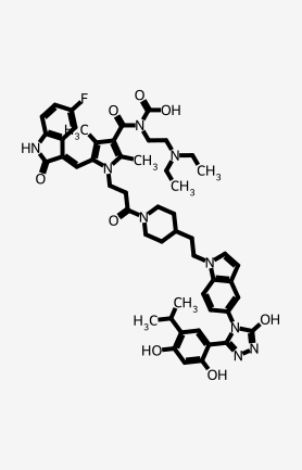 CCN(CC)CCN(C(=O)O)C(=O)c1c(C)c(C=C2C(=O)Nc3ccc(F)cc32)n(CCC(=O)N2CCC(CCn3ccc4cc(-n5c(O)nnc5-c5cc(C(C)C)c(O)cc5O)ccc43)CC2)c1C